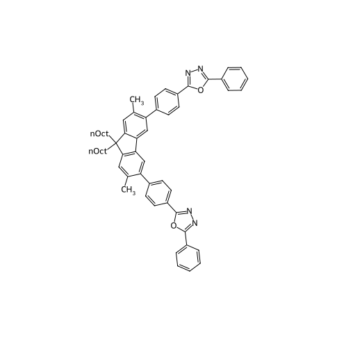 CCCCCCCCC1(CCCCCCCC)c2cc(C)c(-c3ccc(-c4nnc(-c5ccccc5)o4)cc3)cc2-c2cc(-c3ccc(-c4nnc(-c5ccccc5)o4)cc3)c(C)cc21